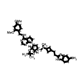 Bc1ccc2[nH]c(CCC3CC(N(C)C[C@H]4C[C@@H](n5ccc6c(NCc7ccc(OC)cc7OC)ncnc65)[C@@H]5OC(C)(C)O[C@H]45)C3)nc2c1